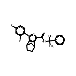 CC(C)(NC(=O)c1nn(-c2ccc(F)cc2F)c2c1C1CCC2C1)c1ccccc1